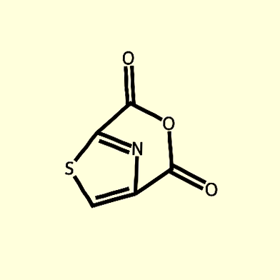 O=C1OC(=O)c2nc1cs2